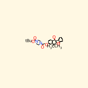 CC(C)(C)OC(=O)N1CCN(C(=O)COc2ccc3c(c2)C(C)(C)c2oc4ccccc4c2C3=O)CC1